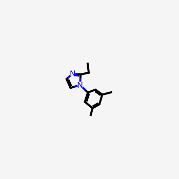 CCc1nccn1-c1cc(C)cc(C)c1